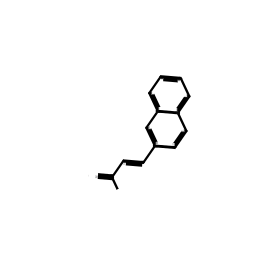 O=C(Cl)C=Cc1ccc2ccccc2c1